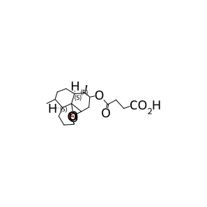 CC1CC[C@H]2[C@@H](C)C(OC(=O)CCC(=O)O)CC3OC4CC[C@@H]1C32OO4